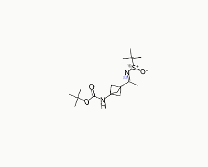 C/C(=N\[S@+]([O-])C(C)(C)C)C12CC(NC(=O)OC(C)(C)C)(C1)C2